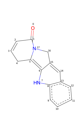 O=C1C=CCC2=C3Nc4ccccc4C=C3CN12